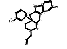 C=CCN1CCC2(c3cccc(O)c3)Cc3[nH]c4ccc(C)cc4c3CC2C1